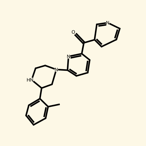 Cc1ccccc1C1CN(c2cccc(C(=O)c3cccnc3)n2)CCN1